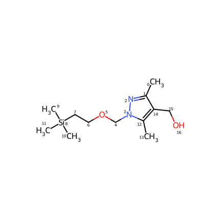 Cc1nn(COCC[Si](C)(C)C)c(C)c1CO